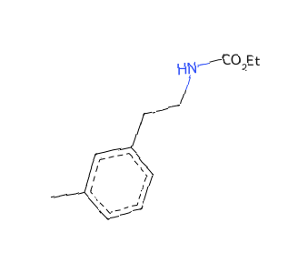 CCOC(=O)NCCc1cccc(C)c1